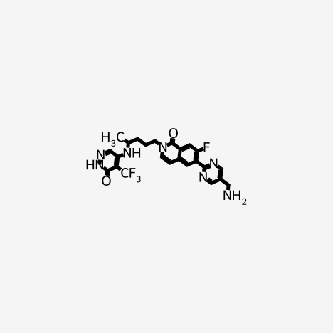 CC(CCCn1ccc2cc(-c3ncc(CN)cn3)c(F)cc2c1=O)Nc1cn[nH]c(=O)c1C(F)(F)F